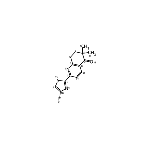 CC1(C)CCc2nc(-c3nc(F)cs3)ccc2C1=O